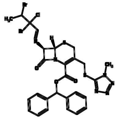 CC(Br)C(Cl)(Br)C=N[C@@H]1C(=O)N2C(C(=O)OC(c3ccccc3)c3ccccc3)=C(CSc3nnnn3C)CS[C@@H]12